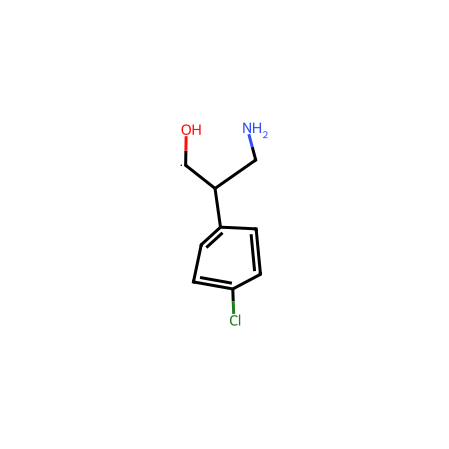 NCC([CH]O)c1ccc(Cl)cc1